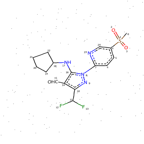 CS(=O)(=O)c1ccc(-n2nc(C(F)F)c(C=O)c2NC2CCCC2)nc1